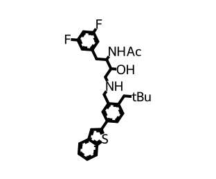 CC(=O)NC(Cc1cc(F)cc(F)c1)C(O)CNCc1cc(-c2cc3ccccc3s2)ccc1CC(C)(C)C